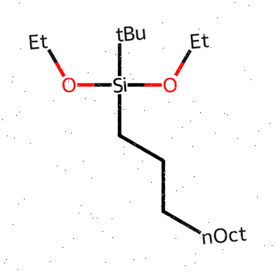 CCCCCCCCCCC[Si](OCC)(OCC)C(C)(C)C